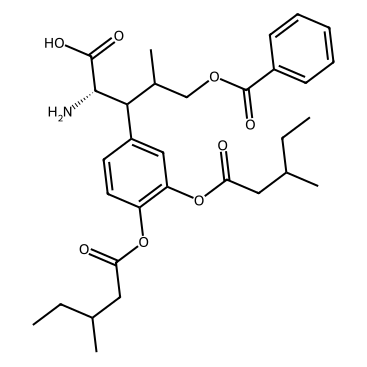 CCC(C)CC(=O)Oc1ccc(C(C(C)COC(=O)c2ccccc2)[C@H](N)C(=O)O)cc1OC(=O)CC(C)CC